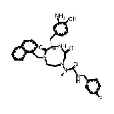 CN(C(=O)NCc1ccc(F)cc1)N1CCN(Cc2cccc3ccccc23)C(=O)[C@H](Cc2ccc(O)c(N)c2)NC(=O)C1